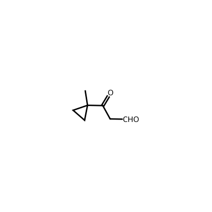 CC1(C(=O)CC=O)CC1